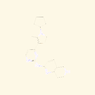 CC1=C(c2ccnc(Nc3ccc4c(n3)CCNC4)n2)SCN1C1CCCC1